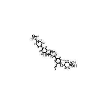 N#Cc1cc(-c2ncnc(Nc3ccc(C4CCN(C5COC5)CC4)cc3)n2)ccc1OC1CCS(O)(O)CC1